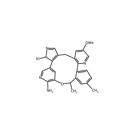 CCn1ncc2c1-c1cnc(N)c(c1)OC(C)c1cc(C)ccc1-c1ncc(OC)cc1C2